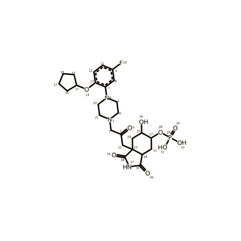 O=C(CN1CCN(c2cc(F)ccc2OC2CCCC2)CC1)CC12CC(O)C(OP(=O)(O)O)CC1C(=O)NC2=O